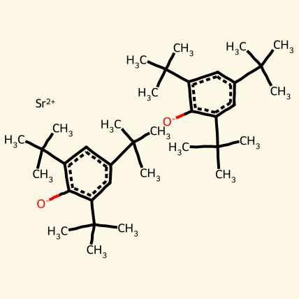 CC(C)(C)c1cc(C(C)(C)C)c([O-])c(C(C)(C)C)c1.CC(C)(C)c1cc(C(C)(C)C)c([O-])c(C(C)(C)C)c1.[Sr+2]